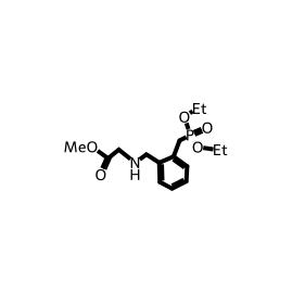 CCOP(=O)(Cc1ccccc1CNCC(=O)OC)OCC